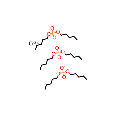 CCCCCOP(=O)([O-])OCCCCC.CCCCCOP(=O)([O-])OCCCCC.CCCCCOP(=O)([O-])OCCCCC.[Cr+3]